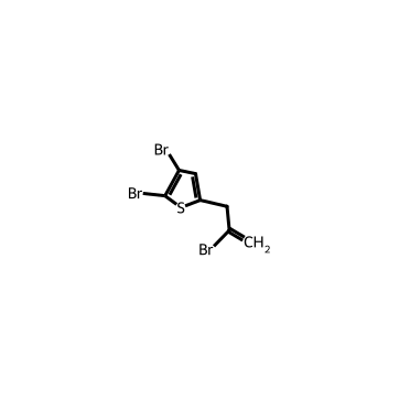 C=C(Br)Cc1cc(Br)c(Br)s1